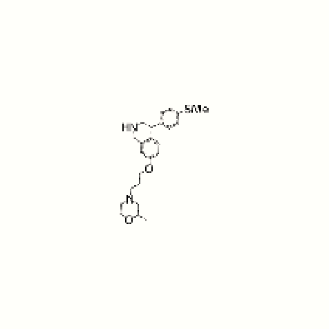 CSc1ccc(C2CNCc3cc(OCCCN4CCOC(C)C4)ccc32)cc1